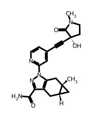 CN1CC[C@@](O)(C#Cc2ccnc(-n3nc(C(N)=O)c4c3C[C@]3(C)C[C@@H]3C4)c2)C1=O